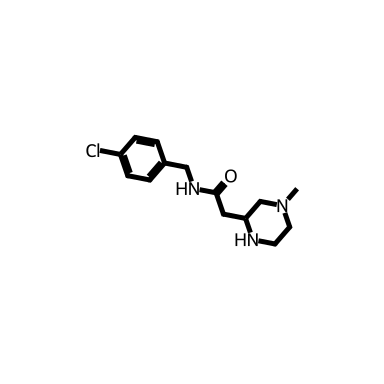 CN1CCNC(CC(=O)NCc2ccc(Cl)cc2)C1